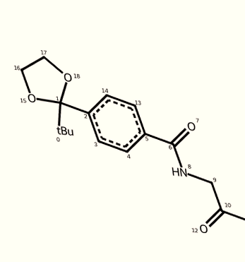 CC(C)(C)C1(c2ccc(C(=O)NCC(N)=O)cc2)OCCO1